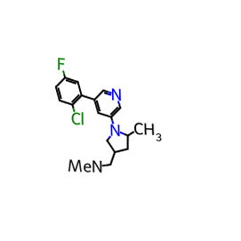 CNCC1CC(C)N(c2cncc(-c3cc(F)ccc3Cl)c2)C1